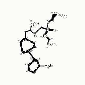 CCOC(=O)COP(=O)(CN[C@@H](Cc1ccc(-c2cccc(OC)c2)cc1)C(=O)O)OCC(=O)OCC